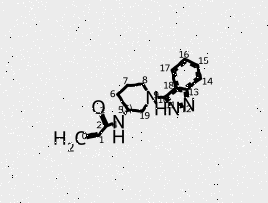 C=CC(=O)N[C@H]1CCCN(c2[nH]nc3ccccc23)C1